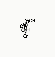 Cc1cc(O)cc(OS(=O)(=O)c2ccccc2S(=O)(=O)NCCc2ccccc2C)c1